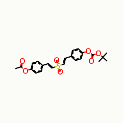 CC(=O)Oc1ccc(C=CS(=O)(=O)C=Cc2ccc(OC(=O)OC(C)(C)C)cc2)cc1